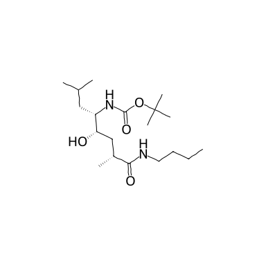 CCCCNC(=O)[C@H](C)C[C@H](O)[C@H](CC(C)C)NC(=O)OC(C)(C)C